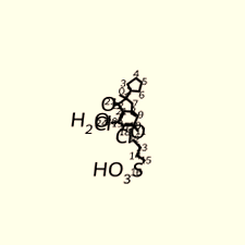 CC1(C2CCCC2)Cc2cc(OCCCCS(=O)(=O)O)c(Cl)c(Cl)c2C1=O.O